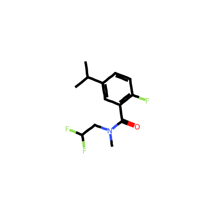 CC(C)c1ccc(F)c(C(=O)N(C)CC(F)F)c1